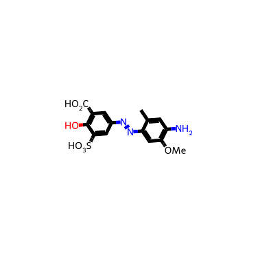 COc1cc(N=Nc2cc(C(=O)O)c(O)c(S(=O)(=O)O)c2)c(C)cc1N